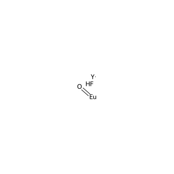 F.[O]=[Eu].[Y]